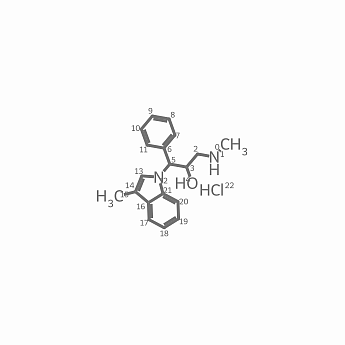 CNCC(O)C(c1ccccc1)n1cc(C)c2ccccc21.Cl